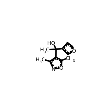 Cc1noc(C)c1C(C)(O)c1ccoc1